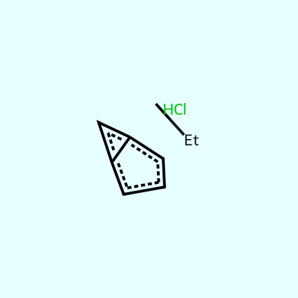 CCC.Cl.c1cc2cc-2c1